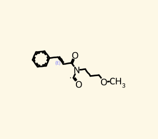 COCCCN([C]=O)C(=O)/C=C/c1ccccc1